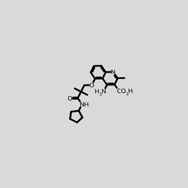 Cc1nc2cccc(OCC(C)(C)C(=O)NC3CCCC3)c2c(N)c1C(=O)O